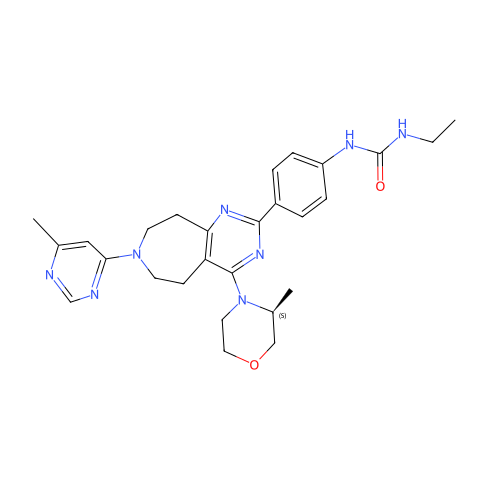 CCNC(=O)Nc1ccc(-c2nc3c(c(N4CCOC[C@@H]4C)n2)CCN(c2cc(C)ncn2)CC3)cc1